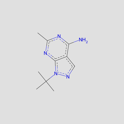 Cc1nc(N)c2cnn(C(C)(C)C)c2n1